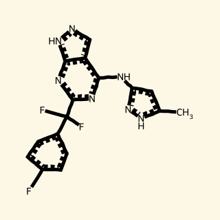 Cc1cc(Nc2nc(C(F)(F)c3ccc(F)cc3)nc3[nH]ncc23)n[nH]1